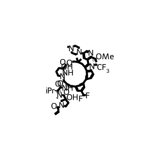 C=CC(=O)N1CCC(O)(C(=O)N(C)[C@H](C(=O)N[C@H]2Cc3cc(cc(C(F)F)c3)-c3ccc4c(c3)c(c(-c3cc(N5CCN(C)CC5)cnc3[C@H](C)OC)n4CC(F)(F)F)CC(C)(C)COC(=O)[C@@]3(O)CCCN(N3)C2=O)C(C)C)C1